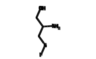 NC(CO)CSF